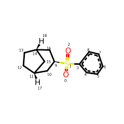 O=S(=O)(c1ccccc1)[C@H]1C[C@@H]2CC[C@@H](C2)C1